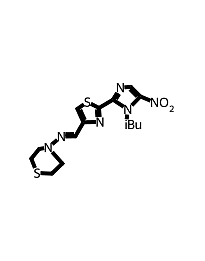 CCC(C)n1c([N+](=O)[O-])cnc1-c1nc(C=NN2CCSCC2)cs1